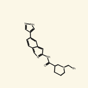 CC(C)CN1CCCC(C(=O)Nc2cc3cc(-c4cn[nH]c4)ccc3cn2)C1